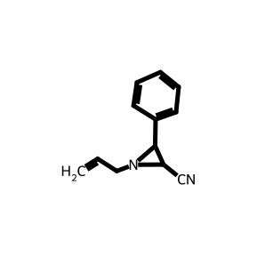 C=CCN1C(C#N)C1c1ccccc1